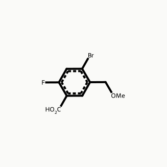 COCc1cc(C(=O)O)c(F)cc1Br